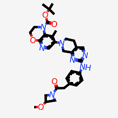 COC1CN(C(=O)Cc2ccc(Nc3ncc4c(n3)CN(c3cnc5c(c3C)N(C(=O)OC(C)(C)C)CCO5)CC4)cc2)C1